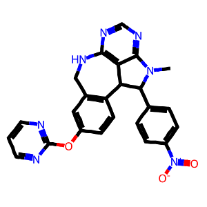 CN1c2ncnc3c2C(c2ccc(Oc4ncccn4)cc2CN3)C1c1ccc([N+](=O)[O-])cc1